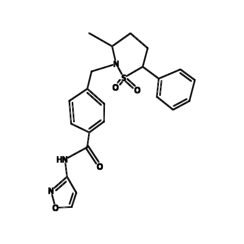 CC1CCC(c2ccccc2)S(=O)(=O)N1Cc1ccc(C(=O)Nc2ccon2)cc1